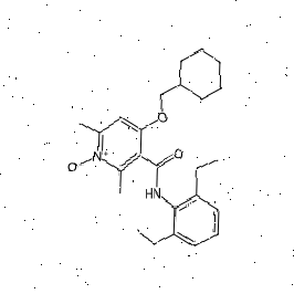 CCc1cccc(CC)c1NC(=O)c1c(OCC2CCCCC2)cc(C)[n+]([O-])c1C